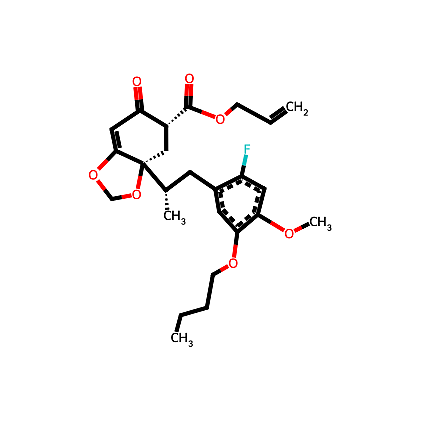 C=CCOC(=O)[C@@H]1C[C@]2([C@@H](C)Cc3cc(OCCCC)c(OC)cc3F)OCOC2=CC1=O